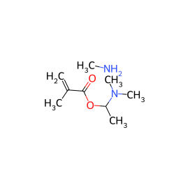 C=C(C)C(=O)OC(C)N(C)C.CN